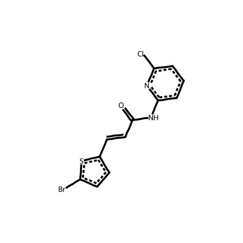 O=C(/C=C/c1ccc(Br)s1)Nc1cccc(Cl)n1